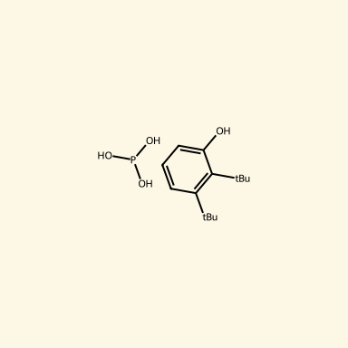 CC(C)(C)c1cccc(O)c1C(C)(C)C.OP(O)O